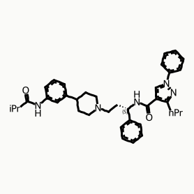 CCCc1nn(-c2ccccc2)cc1C(=O)N[C@@H](CCN1CCC(c2cccc(NC(=O)C(C)C)c2)CC1)c1ccccc1